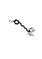 CCOC(CCCCCCc1ccc(C(F)(F)F)cc1)(O[SiH3])OCC